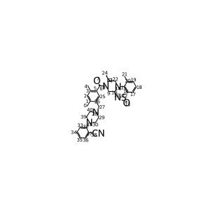 Cc1cc(C)c(C(=O)N2CC(N=S=O)N(c3ccccc3C)C[C@@H]2C)cc1CN1CCN(c2ccccc2C#N)CC1